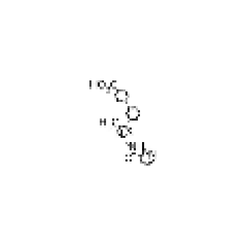 Cc1nc(CNC(=O)c2cccnn2)sc1-c1cccc(-c2ccc(C(=O)O)cc2)c1